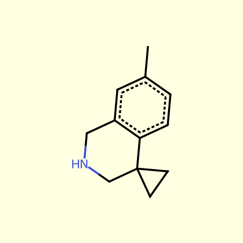 Cc1ccc2c(c1)CNCC21CC1